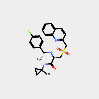 N#CC1(NC(=O)[C@H](CS(=O)(=O)Cc2ccc3ccccc3n2)N[C@@H](c2ccc(F)cc2)C(F)(F)F)CC1